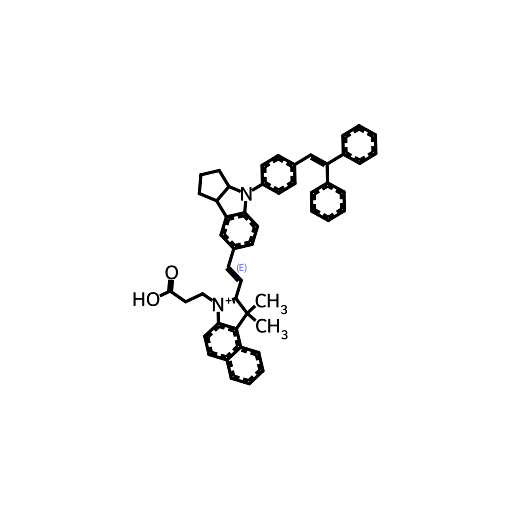 CC1(C)C(/C=C/c2ccc3c(c2)C2CCCC2N3c2ccc(C=C(c3ccccc3)c3ccccc3)cc2)=[N+](CCC(=O)O)c2ccc3ccccc3c21